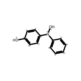 Oc1ccc(N(O)c2ccccc2)cc1